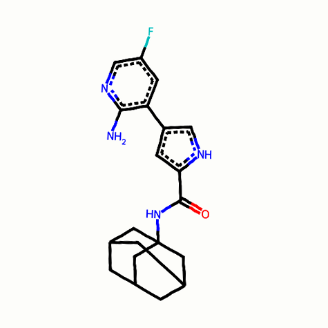 Nc1ncc(F)cc1-c1c[nH]c(C(=O)NC23CC4CC(CC(C4)C2)C3)c1